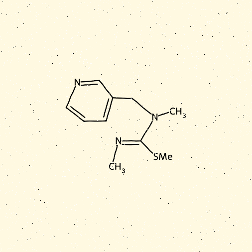 CN=C(SC)N(C)Cc1cccnc1